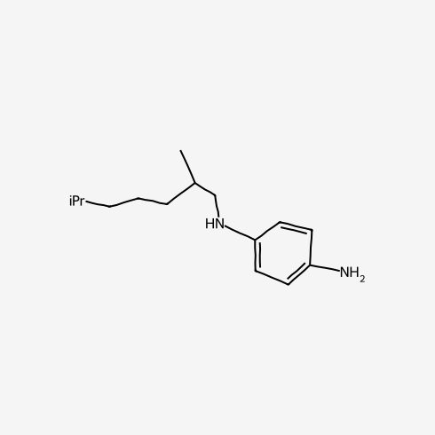 CC(C)CCCC(C)CNc1ccc(N)cc1